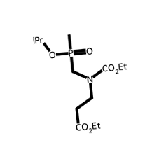 CCOC(=O)CCN(CP(C)(=O)OC(C)C)C(=O)OCC